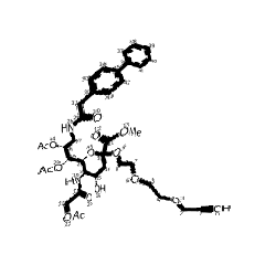 C#CCOCCOCCOC1(C(=O)OC)C[C@H](O)[C@@H](NC(=O)COC(C)=O)[C@H]([C@H](OC(C)=O)[C@@H](CNC(=O)Cc2ccc(-c3ccccc3)cc2)OC(C)=O)O1